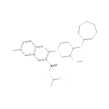 COC1CN(c2nc3ccc(C)cc3cc2C(=O)NC(C)N)CCC1NC1CCCCCC1